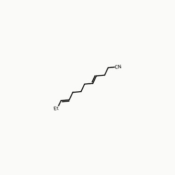 CC/C=C/CCC/C=C/CCC#N